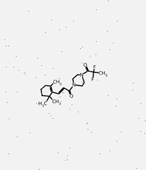 CC1=C(/C=C/C(=O)N2CCN(C(=O)C(C)(F)F)CC2)C(C)(C)CCC1